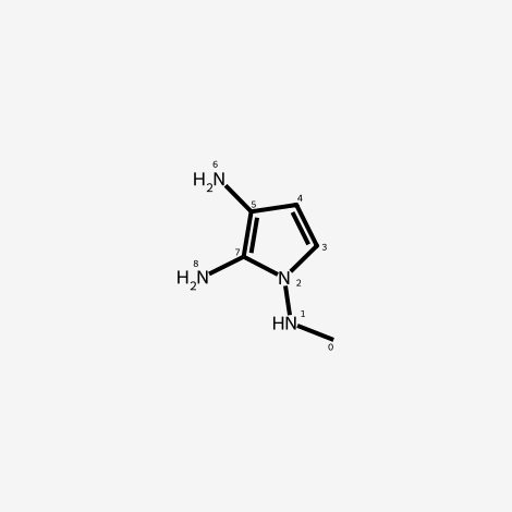 CNn1ccc(N)c1N